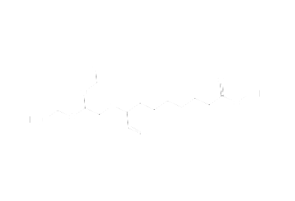 CCOC(CSC(C=O)CCCCCCC(=O)OC)OCC